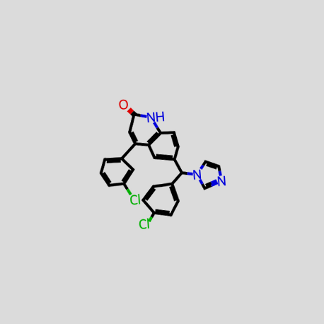 O=c1cc(-c2cccc(Cl)c2)c2cc(C(c3ccc(Cl)cc3)n3ccnc3)ccc2[nH]1